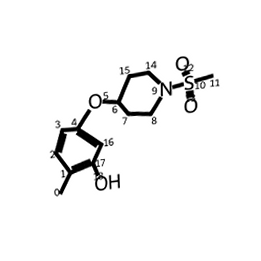 Cc1ccc(OC2CCN(S(C)(=O)=O)CC2)cc1O